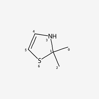 CC1(C)NC=CS1